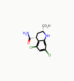 NC(=O)[C@@H]1C[C@H](C(=O)O)Nc2cc(Cl)cc(Cl)c21